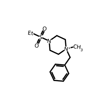 CCS(=O)(=O)N1CC[N+](C)(Cc2ccccc2)CC1